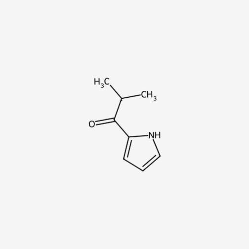 C[C](C)C(=O)c1ccc[nH]1